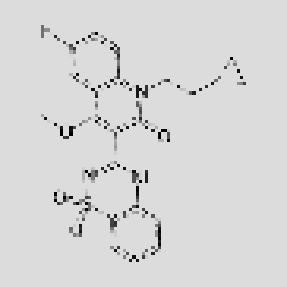 COc1c(C2=NS(=O)(=O)c3ccccc3N2)c(=O)n(CCC2CC2)c2ccc(F)cc12